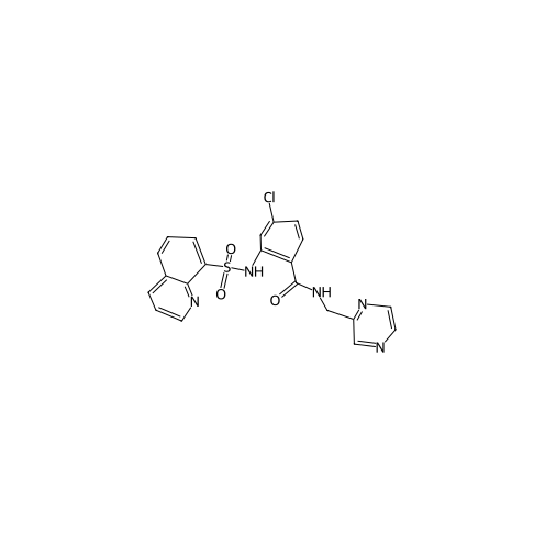 O=C(NCc1cnccn1)c1ccc(Cl)cc1NS(=O)(=O)c1cccc2cccnc12